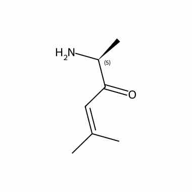 CC(C)=CC(=O)[C@H](C)N